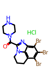 Cl.O=C(c1nc2c(Br)c(Br)c(Br)c3c2n1CCC3)N1CCNCC1